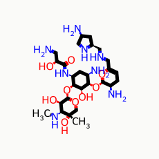 CN[C@@H]1[C@@H](O)[C@@H](O[C@@H]2[C@@H](O)[C@H](O[C@H]3OC(CNC[C@@H]4C[C@H](N)CN4)=CC[C@H]3N)[C@@H](N)C[C@H]2NC(=O)[C@@H](O)CN)OC[C@]1(C)O